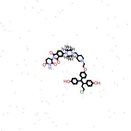 [2H]C1([2H])N(CC2CCN(CCOc3ccc(C(=C(CCCl)c4ccc(O)cc4)c4ccc(O)cc4)cc3)CC2)C([2H])([2H])C([2H])([2H])N(c2ccc3c(c2)C(=O)N(C2CCC(=O)NC2=O)C3=O)C1([2H])[2H]